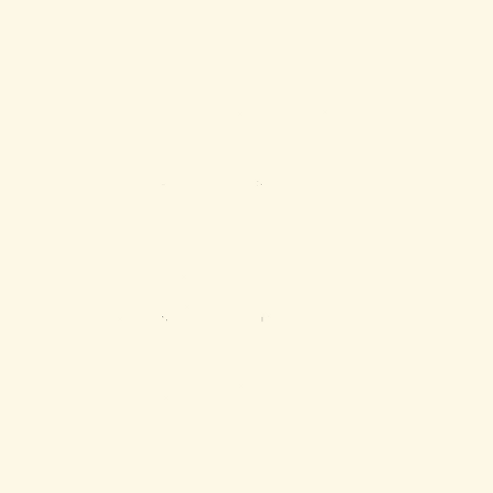 Cc1ccc(-c2ccccc2)cc1N(c1cccc(-c2ccccc2)c1)c1cc(C(C)C)c2ccc3c(N(c4cccc(-c5ccccc5)c4)c4cc(-c5ccccc5)ccc4C)cc(C(C)C)c4ccc1c2c43